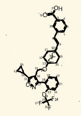 O=C(O)c1cccc(C=CC23CCC(OCc4c(-c5ccccc5OC(F)(F)F)noc4C4CC4)(CC2)CC3)c1